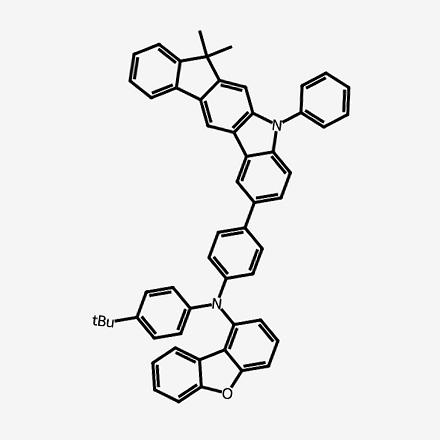 CC(C)(C)c1ccc(N(c2ccc(-c3ccc4c(c3)c3cc5c(cc3n4-c3ccccc3)C(C)(C)c3ccccc3-5)cc2)c2cccc3oc4ccccc4c23)cc1